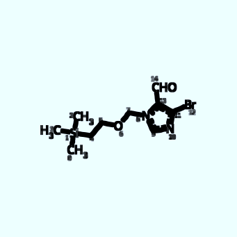 C[Si](C)(C)CCOCn1cnc(Br)c1C=O